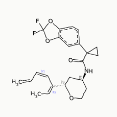 C=C/C=C\C(=C/C)[C@@H]1C[C@@H](NC(=O)C2(c3ccc4c(c3)OC(F)(F)O4)CC2)CCO1